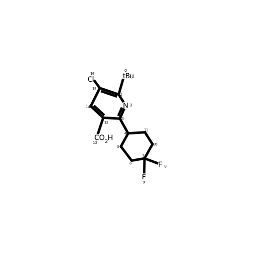 CC(C)(C)c1nc(C2CCC(F)(F)CC2)c(C(=O)O)cc1Cl